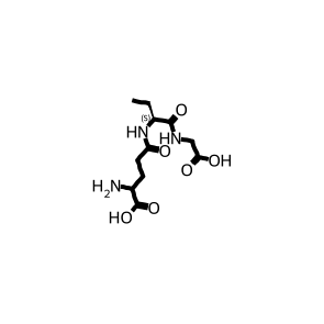 CC[C@H](NC(=O)CCC(N)C(=O)O)C(=O)NCC(=O)O